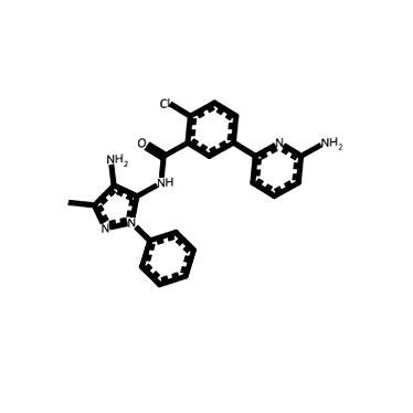 Cc1nn(-c2ccccc2)c(NC(=O)c2cc(-c3cccc(N)n3)ccc2Cl)c1N